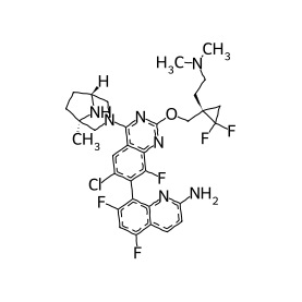 CN(C)CC[C@@]1(COc2nc(N3C[C@H]4CC[C@](C)(C3)N4)c3cc(Cl)c(-c4c(F)cc(F)c5ccc(N)nc45)c(F)c3n2)CC1(F)F